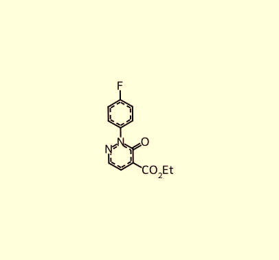 CCOC(=O)c1ccnn(-c2ccc(F)cc2)c1=O